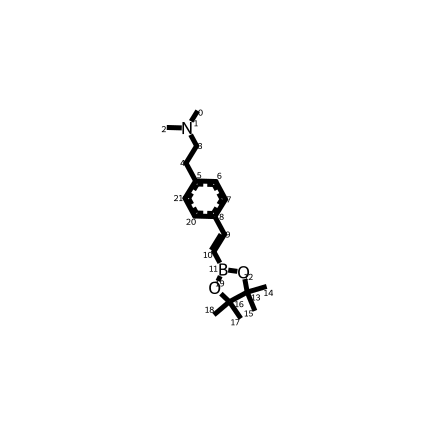 CN(C)CCc1ccc(/C=C/B2OC(C)(C)C(C)(C)O2)cc1